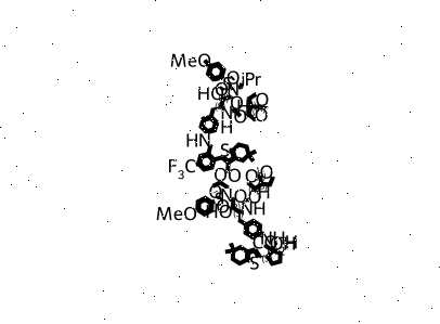 COc1ccc(S(=O)(=O)N(CC(C)C)C[C@@H](O)[C@H](Cc2ccc(NCc3cc(C(F)(F)F)ccc3-c3sc4c(c3C(=O)OC(C)CN(C[C@@H](O)[C@H](Cc3ccc(NC[C@]5(O)CCC[C@@H]5c5sc6c(c5C(=O)O)CC(C)(C)CC6)cc3)NC(=O)O[C@H]3CO[C@@]5(C)OCC[C@@H]35)S(=O)(=O)c3ccc(OC)cc3)CC(C)(C)CC4)cc2)NC(=O)O[C@H]2CO[C@@]3(C)OCC[C@@H]23)cc1